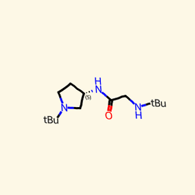 CC(C)(C)NCC(=O)N[C@H]1CCN(C(C)(C)C)C1